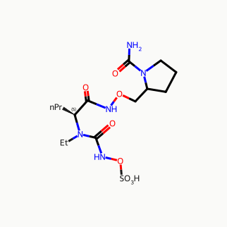 CCC[C@@H](C(=O)NOCC1CCCN1C(N)=O)N(CC)C(=O)NOS(=O)(=O)O